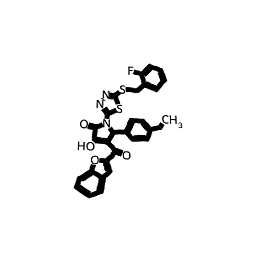 CCc1ccc(C2C(C(=O)c3cc4ccccc4o3)=C(O)C(=O)N2c2nnc(SCc3ccccc3F)s2)cc1